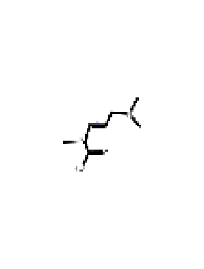 C[C@@H](/C=C/CN(C)C)C(=O)O